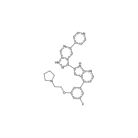 Fc1cc(OCCN2CCCC2)cc(-c2ccnc3[nH]c(-c4n[nH]c5cnc(-c6ccncc6)cc45)cc23)c1